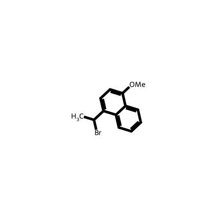 COc1ccc(C(C)Br)c2ccccc12